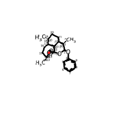 C[C@H]1C(Oc2ccccc2)O[C@@H]2O[C@@]3(C)CCC4[C@H](C)CCC1[C@]42OO3